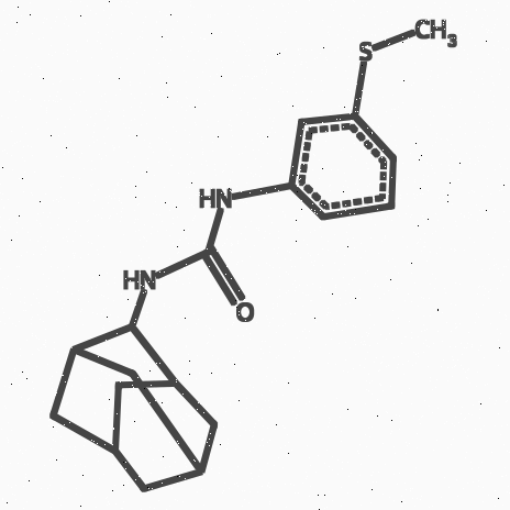 CSc1cccc(NC(=O)NC2C3CC4CC(C3)CC2C4)c1